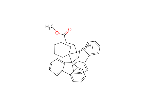 CCCC1(C2(C3(CCC(=O)OC)c4ccccc4-c4ccccc43)CCCCC2)c2ccccc2-c2ccccc21